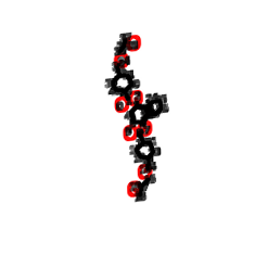 O=C(Oc1ccc(OC(=O)C2CCC(COCC3CO3)CC2)c2c1C1CCC2C1)C1CCC(COCC2CO2)CC1